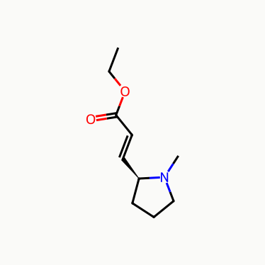 CCOC(=O)/C=C/[C@@H]1CCCN1C